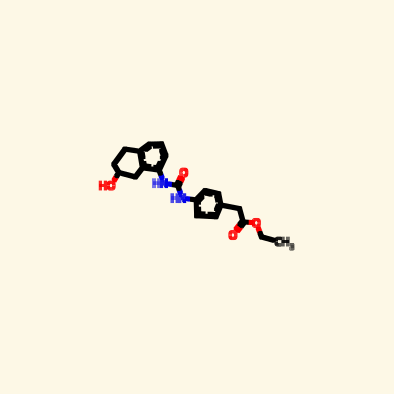 CCOC(=O)Cc1ccc(NC(=O)Nc2cccc3c2CC(O)CC3)cc1